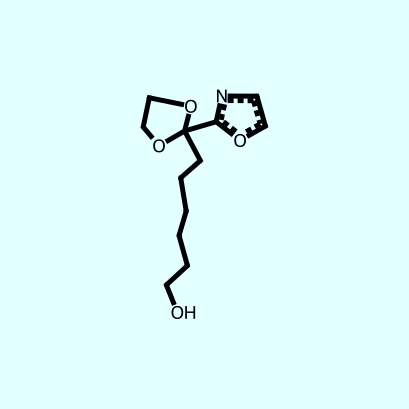 OCCCCCCC1(c2ncco2)OCCO1